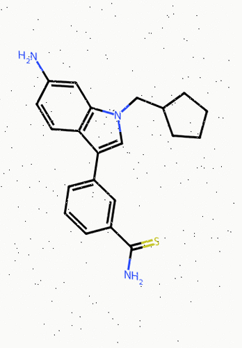 NC(=S)c1cccc(-c2cn(CC3CCCC3)c3cc(N)ccc23)c1